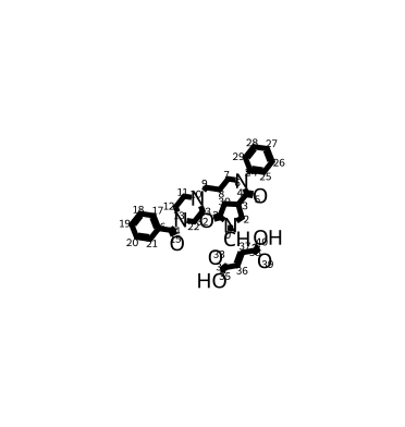 CN1CC(C(=O)N(CCCN2CCN(C(=O)c3ccccc3)CC2)c2ccccc2)CC1=O.O=C(O)C=CC(=O)O